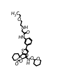 CCOCCNCC(=O)Nc1cccc(-c2ccc([C@@]3(CC(=O)NOC4CCCCO4)CCCCS3(=O)=O)s2)c1